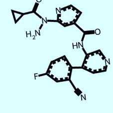 N#Cc1cc(F)ccc1-c1ccncc1NC(=O)c1ccnc(N(N)C(=O)C2CC2)c1